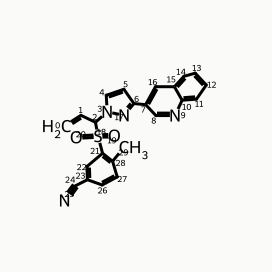 C=CC(n1ccc(-c2cnc3ccccc3c2)n1)S(=O)(=O)c1cc(C#N)ccc1C